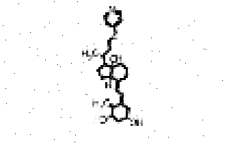 C=C1/C(=C\C=C2/CCC[C@]3(C)C([C@H](C)CCSc4ccncc4)CC[C@@H]23)C[C@H](O)C[C@H]1O